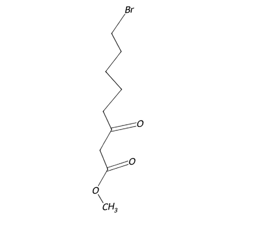 COC(=O)CC(=O)CCCCCBr